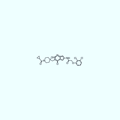 O=C(COc1cccc(Cl)c1Cl)Nc1cc2c(=O)n(CC3(O)CCN(C(=O)C4CC4)CC3)cnn2c1